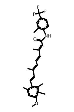 COc1cc(C)c(/C=C/C(C)=C/C=C/C(C)=C/C(=O)Nc2ccc(C(F)(F)F)cc2C)c(C)c1C